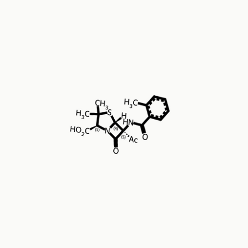 CC(=O)[C@]1(NC(=O)c2ccccc2C)C(=O)N2[C@@H](C(=O)O)C(C)(C)S[C@@H]21